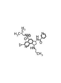 CCCN[C@@H]1C[C@@H](NC(=O)c2cccnc2)c2cc(S(=O)(=O)NCC(C)C)c3cc(C4CC4)ncc3c21